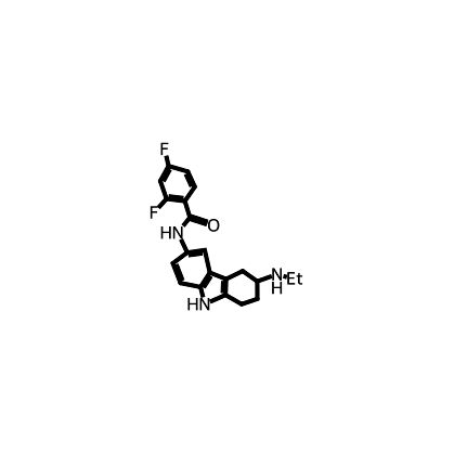 CCNC1CCc2[nH]c3ccc(NC(=O)c4ccc(F)cc4F)cc3c2C1